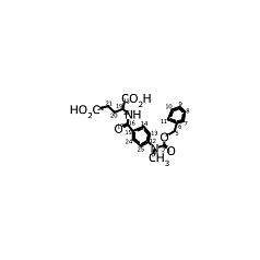 CN(C(=O)OCc1ccccc1)c1ccc(C(=O)NC(CCC(=O)O)C(=O)O)cc1